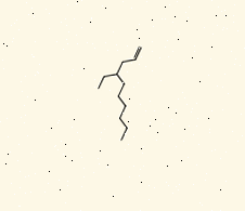 C=CCC(CC)CCCCCC